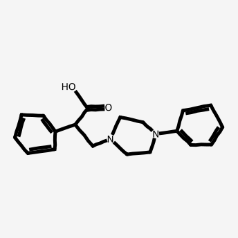 O=C(O)C(CN1CCN(c2ccccc2)CC1)c1ccccc1